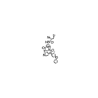 Cc1cc(Oc2ccccc2)ccc1N1C(=O)Nc2c(C(=O)N3C=C(NC(=O)/C(C#N)=C/C4CC4)CC3)sc3nccc1c23